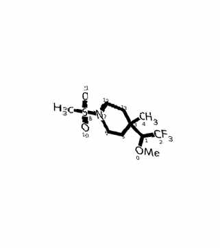 COC(C(F)(F)F)C1(C)CCN(S(C)(=O)=O)CC1